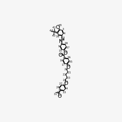 COc1ccc(N=Nc2ccc(OC(=O)c3ccc(OCCCCCOc4ccc(C(C)=O)cc4)cc3)cc2)cc1C(C)(C)C